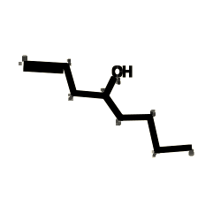 [CH]=CCC(O)CCCC